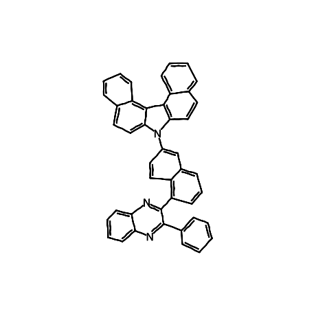 c1ccc(-c2nc3ccccc3nc2-c2cccc3cc(-n4c5ccc6ccccc6c5c5c6ccccc6ccc54)ccc23)cc1